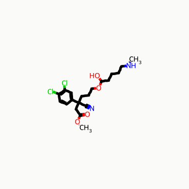 CNCCCCC(O)OCCCC(C#N)(CC(=O)OC)c1ccc(Cl)c(Cl)c1